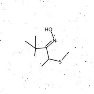 CSC(C)C(=NO)C(C)(C)C